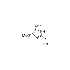 COc1nc(CC#N)[nH]c1OC